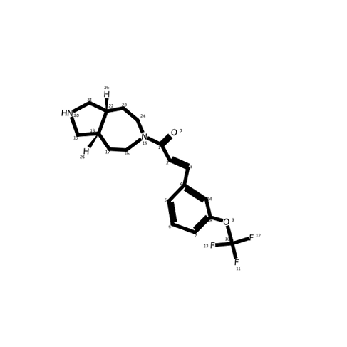 O=C(/C=C/c1cccc(OC(F)(F)F)c1)N1CC[C@@H]2CNC[C@@H]2CC1